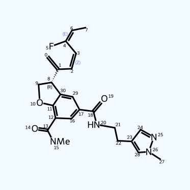 C=C(/C=C\C(F)=C/C)[C@H]1COc2c(C(=O)NC)cc(C(=O)NCCc3cnn(C)c3)cc21